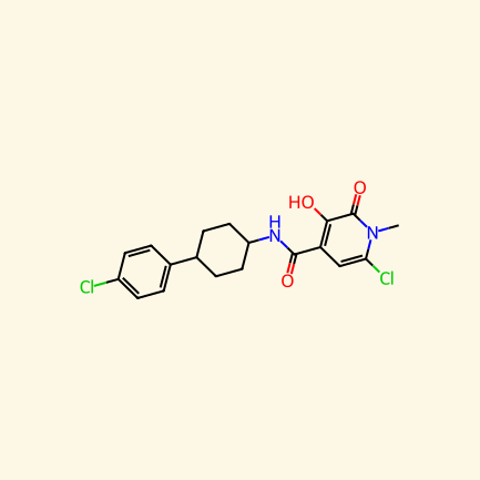 Cn1c(Cl)cc(C(=O)NC2CCC(c3ccc(Cl)cc3)CC2)c(O)c1=O